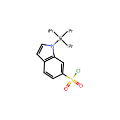 CC(C)[Si](C(C)C)(C(C)C)n1ccc2ccc(S(=O)(=O)Cl)cc21